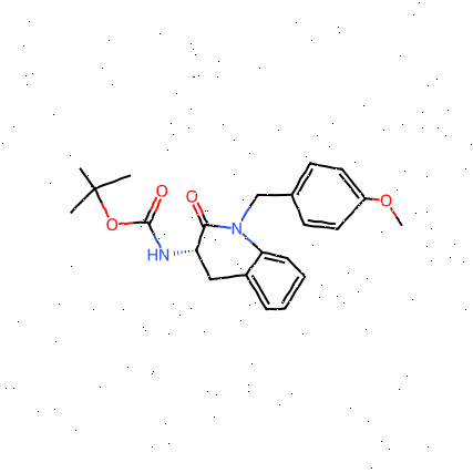 COc1ccc(CN2C(=O)[C@@H](NC(=O)OC(C)(C)C)Cc3ccccc32)cc1